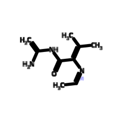 C=C(N)NC(=O)C(/N=C\C)=C(C)C